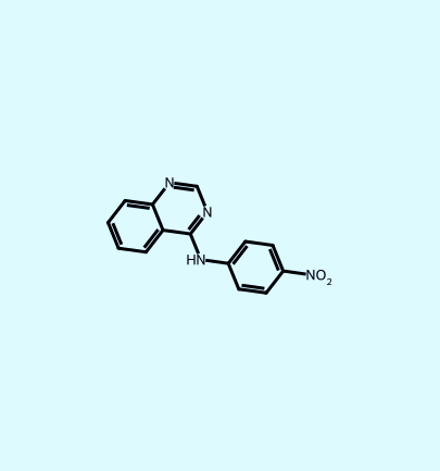 O=[N+]([O-])c1ccc(Nc2ncnc3ccccc23)cc1